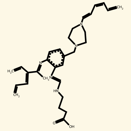 C=C/C=C\C=C\N1CCN(Cc2ccc(/N=C(C)/C(C=C)=C/C=C)c(/N=C/NCCCC(=O)O)c2)CC1